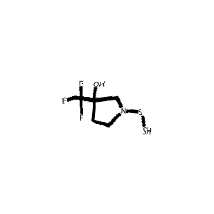 OC1(C(F)(F)F)CCN(SS)C1